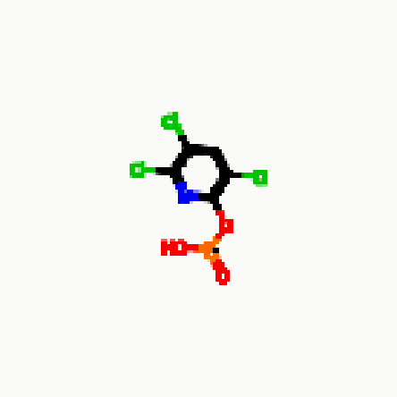 O=[P](O)Oc1nc(Cl)c(Cl)cc1Cl